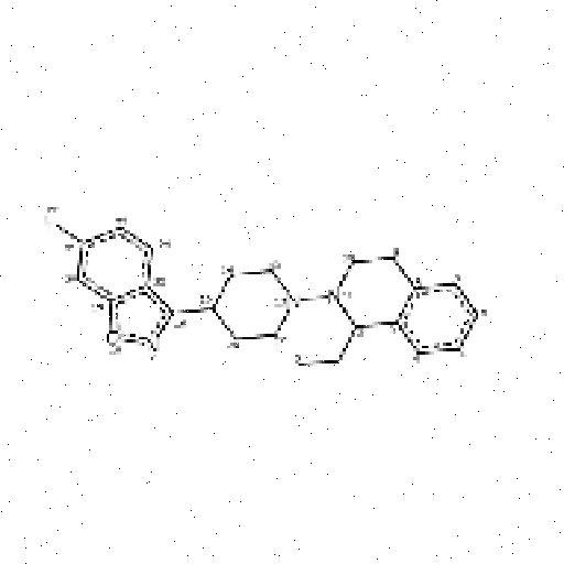 CCC1c2ccccc2CCN1N1CCC(c2noc3cc(F)ccc23)CC1